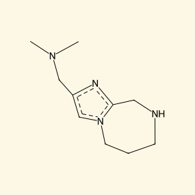 CN(C)Cc1cn2c(n1)CNCCC2